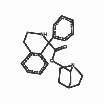 O=C(OC1CC2CCN1CC2)C1(c2ccccc2)NCCc2ccccc21